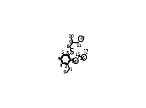 CCc1cccc(SCC(C)C=O)c1OCOC